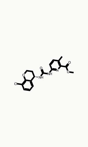 COC(=O)c1nc(NC(=O)N[C@H]2CCOc3c(Cl)cccc32)ccc1C